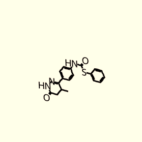 CC1CC(=O)NN=C1c1ccc(NC(=O)Sc2ccccc2)cc1